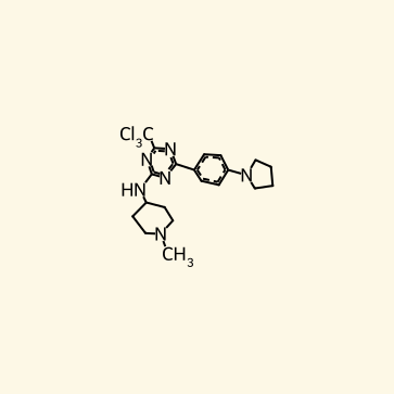 CN1CCC(Nc2nc(-c3ccc(N4CCCC4)cc3)nc(C(Cl)(Cl)Cl)n2)CC1